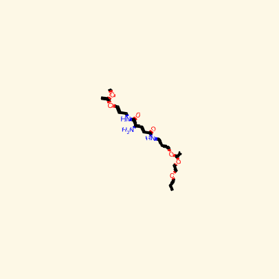 CCCOCCOC(C)OCCCNC(=O)CCC(N)C(=O)NCCCOC(C)OC